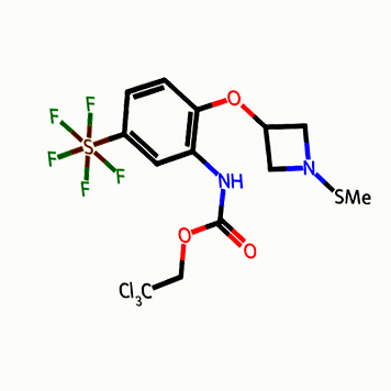 CSN1CC(Oc2ccc(S(F)(F)(F)(F)F)cc2NC(=O)OCC(Cl)(Cl)Cl)C1